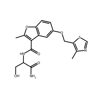 Cc1ncsc1COc1ccc2oc(C)c(C(=O)NC(CO)C(N)=O)c2c1